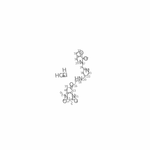 CCN1C(=O)C(C)(C)C(=O)N(C)c2cc(OCCCNCc3ccnc(CCn4ccc5ccoc5c4=O)c3)ccc21.Cl.Cl